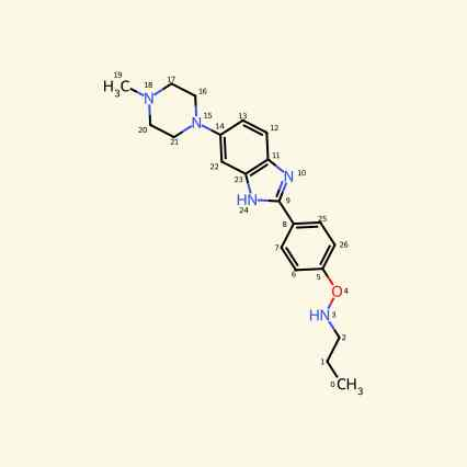 CCCNOc1ccc(-c2nc3ccc(N4CCN(C)CC4)cc3[nH]2)cc1